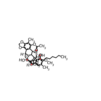 CCCCCCCC(=O)N[C@H]1CS[C@@H]2c3c(OC(C)=O)c(C)c4c(c3[C@H](COC1=O)N1C2[C@H]2c3c(cc(C)c(OC)c3O)C[C@@H]([C@@H]1O)N2C)OCO4